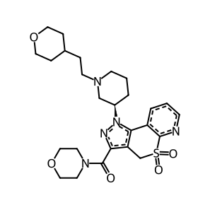 O=C(c1nn([C@@H]2CCCN(CCC3CCOCC3)C2)c2c1CS(=O)(=O)c1ncccc1-2)N1CCOCC1